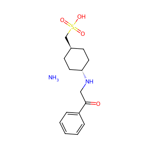 N.O=C(CN[C@H]1CC[C@H](CS(=O)(=O)O)CC1)c1ccccc1